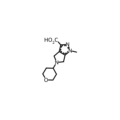 Cn1nc(C(=O)O)c2c1CN(C1CCOCC1)C2